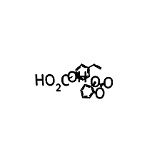 C=Cc1ccccc1.O=C(O)O.O=c1oc2ccccc2o1